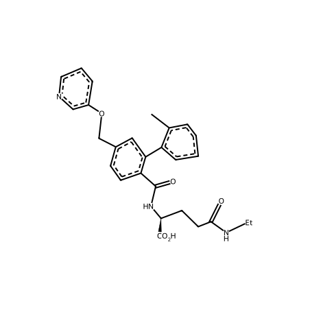 CCNC(=O)CC[C@H](NC(=O)c1ccc(COc2cccnc2)cc1-c1ccccc1C)C(=O)O